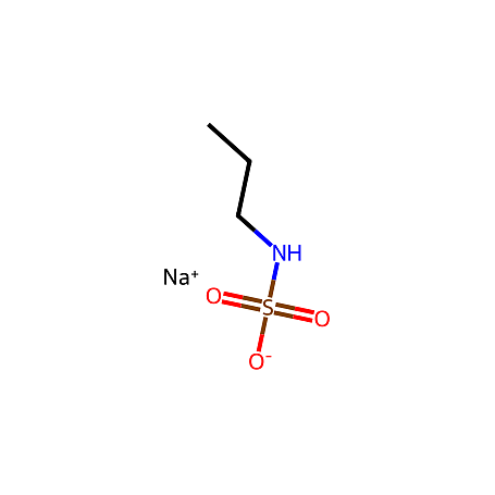 CCCNS(=O)(=O)[O-].[Na+]